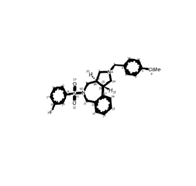 COc1ccc(CN2C[C@@H]3CN(S(=O)(=O)c4cccc(F)c4)Cc4ccccc4[C@H]3C2)cc1